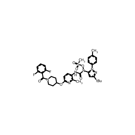 Cc1ccc(-n2nc(C(C)(C)C)cc2N(OS(C)(=O)=O)C(=O)Nc2ccc(OC3CCN(C(=O)c4c(F)cccc4F)CC3)nc2C)cc1